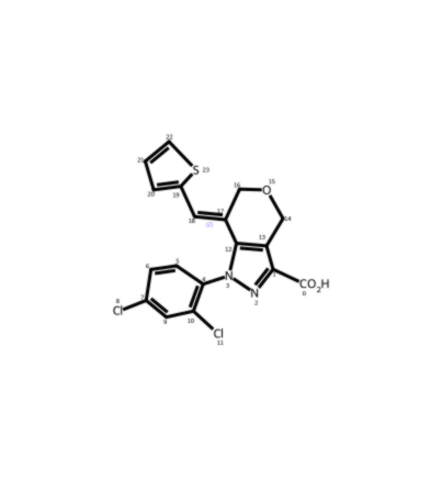 O=C(O)c1nn(-c2ccc(Cl)cc2Cl)c2c1COC/C2=C\c1cccs1